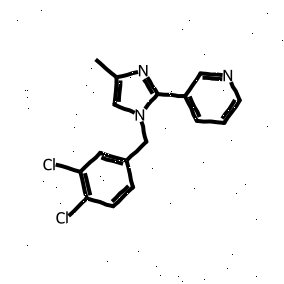 Cc1cn(Cc2ccc(Cl)c(Cl)c2)c(-c2cccnc2)n1